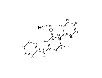 Cc1cc(Nc2ccccc2)cc(=O)n1-c1ccccc1.Cl